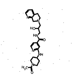 CC(=O)N1CCC(Nc2cc(C(=O)NCC(O)CN3CCc4cccnc4C3)ccn2)CC1